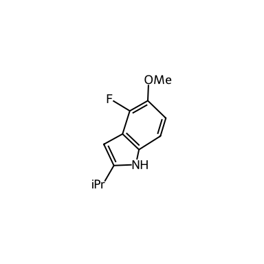 COc1ccc2[nH]c(C(C)C)cc2c1F